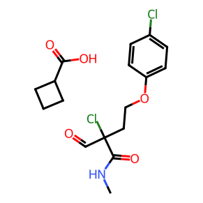 CNC(=O)C(Cl)(C=O)CCOc1ccc(Cl)cc1.O=C(O)C1CCC1